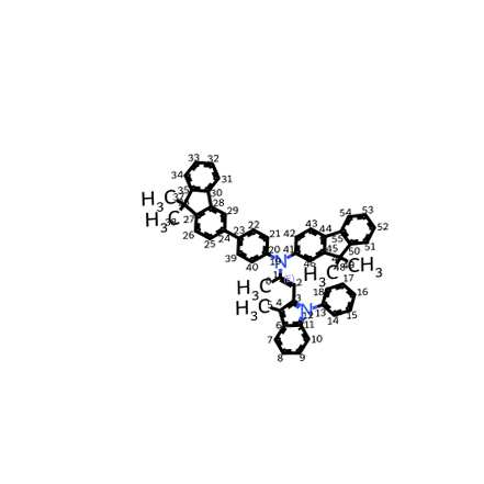 C/C(=C\c1c(C)c2ccccc2n1-c1ccccc1)N(c1ccc(-c2ccc3c(c2)-c2ccccc2C3(C)C)cc1)c1ccc2c(c1)C(C)(C)c1ccccc1-2